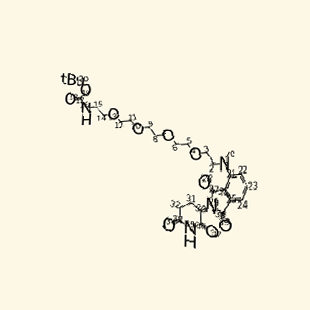 CN(CCOCCOCCOCCOCCNC(=O)OC(C)(C)C)c1cccc2c1C(=O)N(C1CCC(=O)NC1=O)C2=O